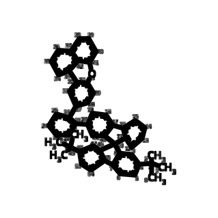 CC(C)(C)c1ccc2c(c1)C1(c3ccccc3-c3ccc(-c4ccccc4-c4ccc5c(c4)-c4cccc6cccc(c46)O5)cc31)c1cc(C(C)(C)C)ccc1-2